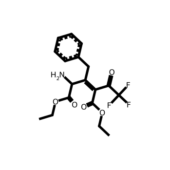 CCOC(=O)C(C(=O)C(F)(F)F)=C(Cc1ccccc1)C(N)C(=O)OCC